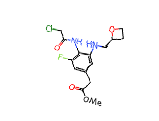 COC(=O)Cc1cc(F)c(NC(=O)CCl)c(NC[C@@H]2CCO2)c1